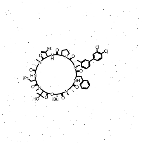 C=C(CC)C1NC(=O)C2CCCN2C(=O)[C@H](Cc2cccc(-c3ccc(Cl)c(Cl)c3)c2)N(C)C(=O)C(Cc2ccccc2)NC(=O)[C@H](C)N(C)C(=O)[C@@H](C(C)CC)OC(=O)C(C(C)(C)O)N(C)C(=O)C(CC(C)C)NC(=O)[C@H](C)N(C)C1=O